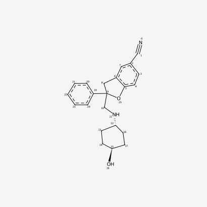 N#Cc1ccc2c(c1)CC(CN[C@H]1CC[C@H](O)CC1)(c1ccccc1)O2